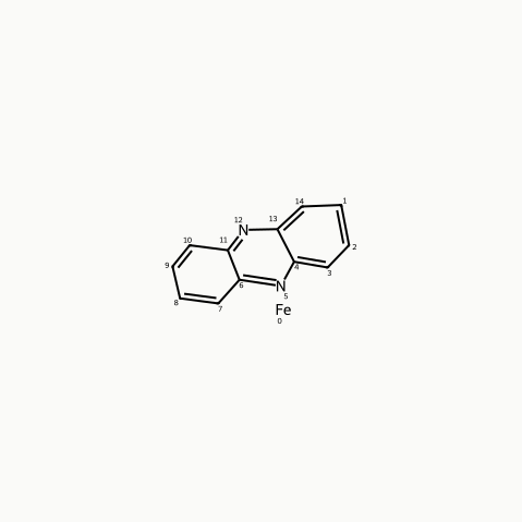 [Fe].c1ccc2nc3ccccc3nc2c1